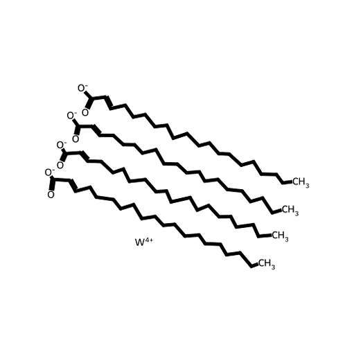 CCCCCCCCCCCCCCCCCC=CC(=O)[O-].CCCCCCCCCCCCCCCCCC=CC(=O)[O-].CCCCCCCCCCCCCCCCCC=CC(=O)[O-].CCCCCCCCCCCCCCCCCC=CC(=O)[O-].[W+4]